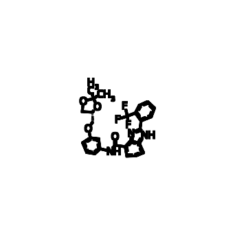 CC1(C)OC[C@@H](COc2cccc(NC(=O)c3cccc4[nH]c(-c5ccccc5C(F)(F)F)nc34)c2)O1